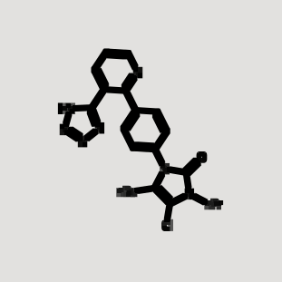 CCCCc1c(Cl)n(CCC)c(=O)n1-c1ccc(-c2ncccc2-c2nnn[nH]2)cc1